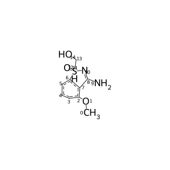 COc1cccc2c1C(N)=N[SH]2(=O)CO